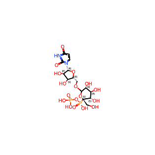 O=c1ccn([C@@H]2O[C@H](COC3O[C@@](CO)(P(=O)(O)OP(=O)(O)O)[C@@H](O)[C@H](O)[C@H]3O)[C@@H](O)[C@H]2O)c(=O)[nH]1